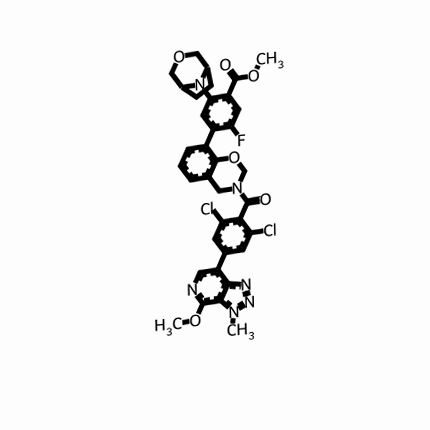 COC(=O)c1cc(F)c(-c2cccc3c2OCN(C(=O)c2c(Cl)cc(-c4cnc(OC)c5c4nnn5C)cc2Cl)C3)cc1N1C2CCC1COC2